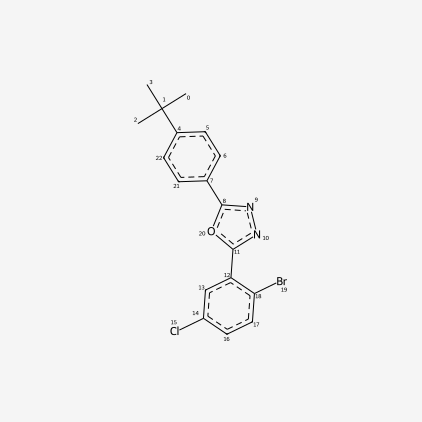 CC(C)(C)c1ccc(-c2nnc(-c3cc(Cl)ccc3Br)o2)cc1